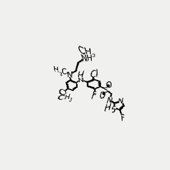 CNCCN(C)c1cc(OC)ccc1Nc1cc(F)c(S(=O)(=O)CNc2ncc(F)s2)cc1Cl